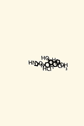 C[C@]12CC[C@H]3[C@@H](C[C@H](O)C4CC(=NO[C@@H]5CCNC5)CC[C@@]43C)[C@@H]1CC[C@@H]2O.Cl